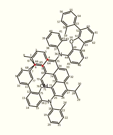 Cc1ccccc1-c1cccc(-c2cccc(N(c3ccccc3C)c3cc(C(C)C)c4ccc5c(N(c6ccccc6C)c6cccc7c6oc6c(-c8ccccc8C)cccc67)cc(C(C)C)c6ccc3c4c65)c2O)c1